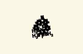 Bc1nc(-c2cccc3c2oc2c(-c4cccc(-c5ccccc5)c4)c(C#N)ccc23)c(B)c(F)c1B